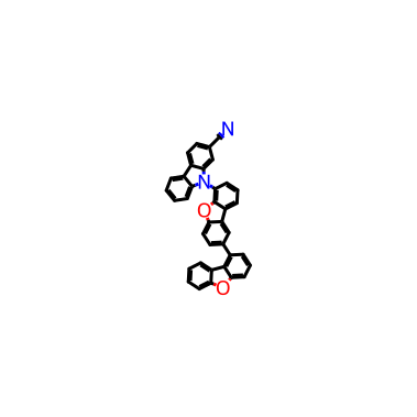 N#Cc1ccc2c3ccccc3n(-c3cccc4c3oc3ccc(-c5cccc6oc7ccccc7c56)cc34)c2c1